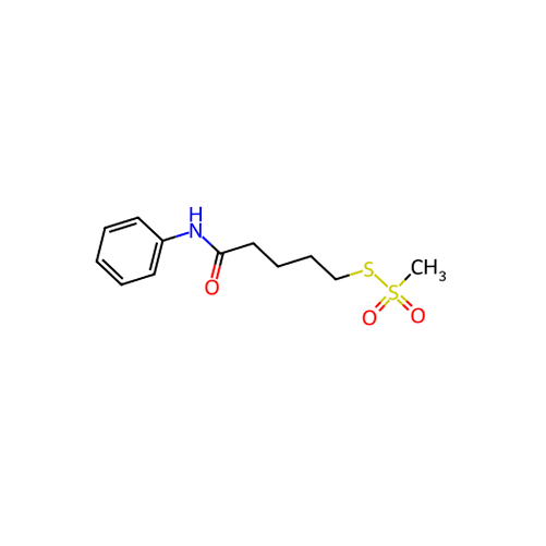 CS(=O)(=O)SCCCCC(=O)Nc1ccccc1